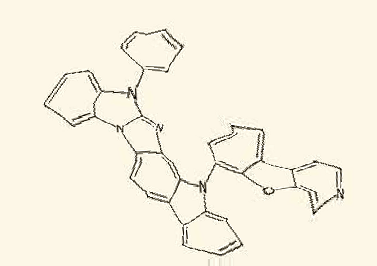 c1ccc(-n2c3ccccc3n3c4ccc5c6ccccc6n(-c6cccc7c6oc6cnccc67)c5c4nc23)cc1